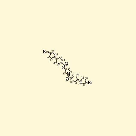 O=C(O[C@@H]1CCN(C(=O)c2ccc(-c3ccc(Br)cc3)cc2)C1)c1ccc(-c2ccc(Br)cc2)cc1